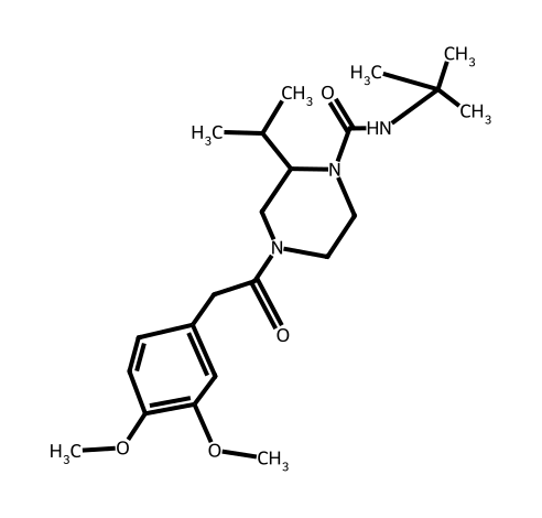 COc1ccc(CC(=O)N2CCN(C(=O)NC(C)(C)C)C(C(C)C)C2)cc1OC